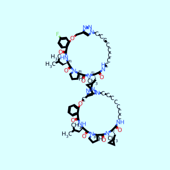 CC(C)C[C@H]1NC(=O)c2ccccc2OCc2nnn(c2C2CC2C[C@H]2C(=O)NCCCCCCCCn3cc(nn3)COc3cc(F)ccc3C(=O)N[C@H](CC(C)C)C(=O)N3CCC[C@@H]3C(=O)N2C)CCCCCCCNC(=O)[C@H](CC2CC2)N(C)C(=O)[C@H]2CCCN2C1=O